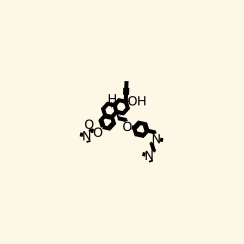 CC#C[C@@]1(O)CC[C@]2(CCOc3ccc(CN(C)CCN(C)C)cc3)c3ccc(OC(=O)N(C)C)cc3CC[C@H]2C1